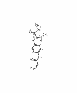 C=CC(=O)Oc1ccc(C[C@H](NC)C(=O)OC)cc1